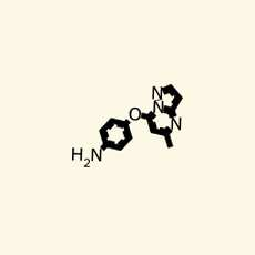 Cc1cc(Oc2ccc(N)cc2)n2nccc2n1